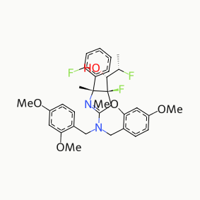 COc1ccc(CN(Cc2ccc(OC)cc2OC)C2=N[C@](C)(c3ccccc3F)[C@](F)([C@H](O)[C@H](C)F)C2)c(OC)c1